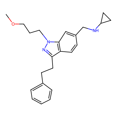 COCCCn1nc(CCc2ccccc2)c2ccc(CNC3CC3)cc21